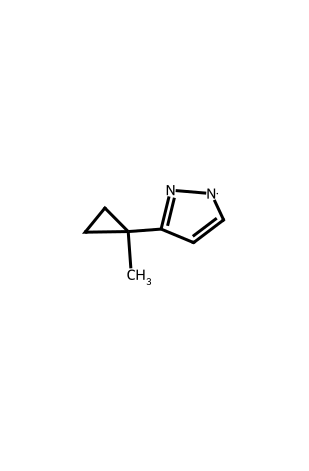 CC1(C2=N[N]C=C2)CC1